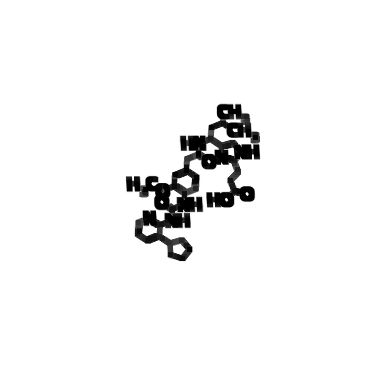 COc1cc(CC(=O)NC(CC(C)C)c2c[nH]c(CCC(=O)O)n2)ccc1NC(=O)Nc1ncccc1C1CCCC1